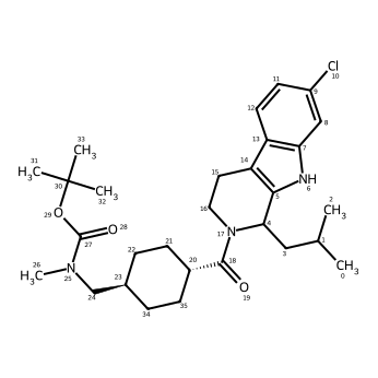 CC(C)CC1c2[nH]c3cc(Cl)ccc3c2CCN1C(=O)[C@H]1CC[C@H](CN(C)C(=O)OC(C)(C)C)CC1